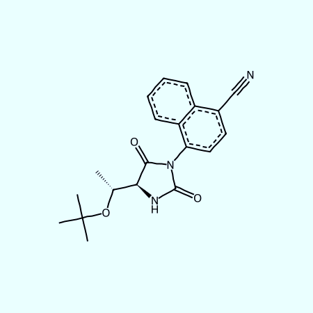 C[C@@H](OC(C)(C)C)[C@@H]1NC(=O)N(c2ccc(C#N)c3ccccc23)C1=O